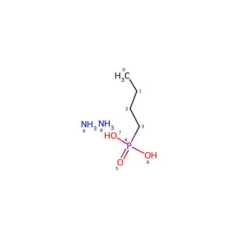 CCCCP(=O)(O)O.N.N